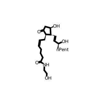 CCCCC[C@H](O)/C=C/[C@H]1[C@H](O)CC(=O)[C@@H]1C/C=C\CCCC(=O)NCCO